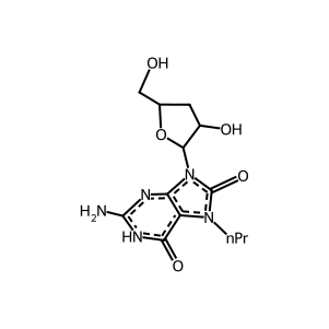 CCCn1c(=O)n(C2OC(CO)CC2O)c2nc(N)[nH]c(=O)c21